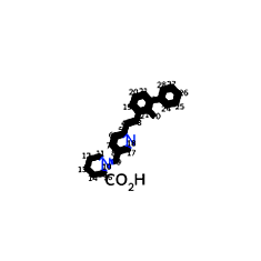 Cc1c(C=Cc2ccc(CN3CCCCC3C(=O)O)cn2)cccc1-c1ccccc1